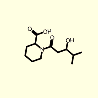 CC(C)C(O)CC(=O)N1CCCCC1C(=O)O